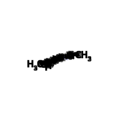 CCCC1CCC(/C=C/C2CCC(c3ccc(-c4ccc(OCC)c(F)c4F)cc3)CC2)CC1